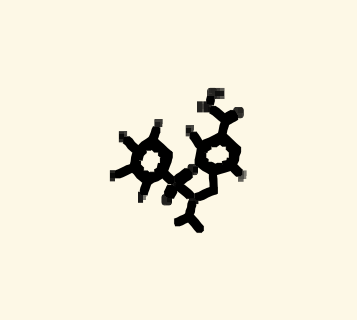 CC(C)N(Cc1cc(F)c(C(=O)NO)cc1F)S(=O)(=O)c1cc(F)c(F)c(F)c1F